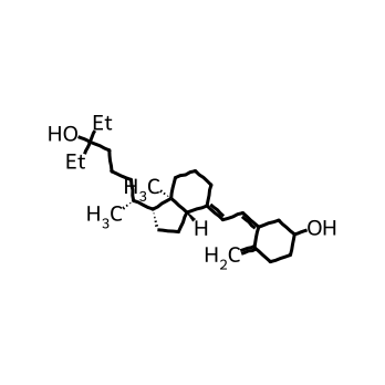 C=C1CCC(O)C/C1=C/C=C1\CCC[C@]2(C)[C@@H]([C@H](C)CCCC(O)(CC)CC)CC[C@@H]12